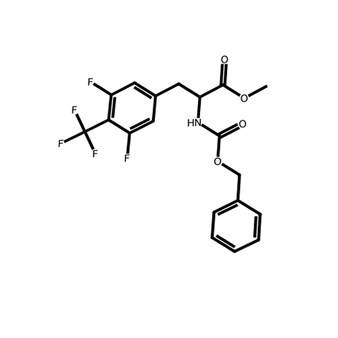 COC(=O)C(Cc1cc(F)c(C(F)(F)F)c(F)c1)NC(=O)OCc1ccccc1